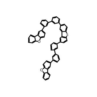 c1cc(-c2cccc(-c3ccc4sc5ccc(-c6cccc(-c7cccc(-c8ccc9oc%10ccccc%10c9c8)c7)c6)cc5c4c3)c2)cc(-c2ccc3oc4ccccc4c3c2)c1